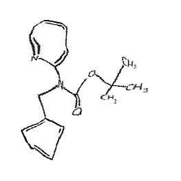 CC(C)(C)OC(=O)N(Cc1ccccc1)c1ccccn1